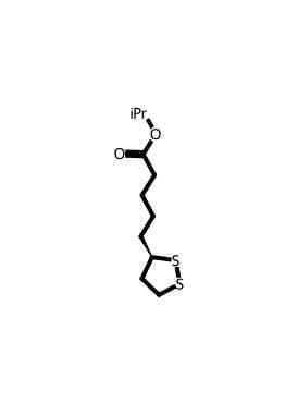 CC(C)OC(=O)CCCC[C@@H]1CCSS1